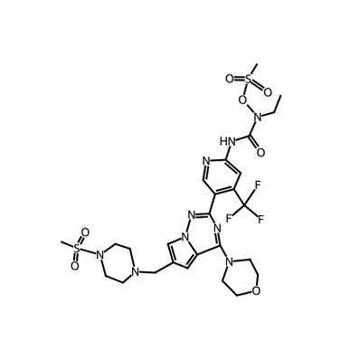 CCN(OS(C)(=O)=O)C(=O)Nc1cc(C(F)(F)F)c(-c2nc(N3CCOCC3)c3cc(CN4CCN(S(C)(=O)=O)CC4)cn3n2)cn1